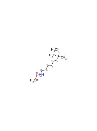 CCC(C)(C)CCCCCCNOC